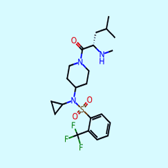 CN[C@@H](CC(C)C)C(=O)N1CCC(N(C2CC2)S(=O)(=O)c2ccccc2C(F)(F)F)CC1